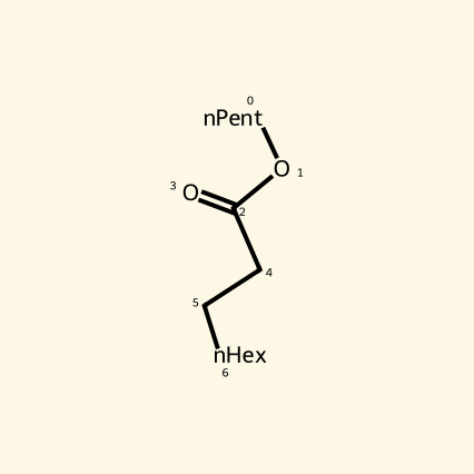 [CH2]CCCCOC(=O)CCCCCCCC